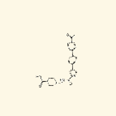 CC(=O)c1ccc(-c2ccc(-c3csc(C(=O)NC[C@H]4CC[C@H](C(=O)O)CC4)c3)cc2)cc1